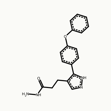 NNC(=O)CCc1cn[nH]c1-c1ccc(Oc2ccccc2)cc1